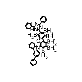 Bc1c(B)c(B)c2c(oc3c(B)c(C4=NC(c5ccccc5)NC(c5ccccc5)N4)c(B)c(B)c32)c1-n1c2ccccc2c2cc(C3=CC=CCC3)ccc21